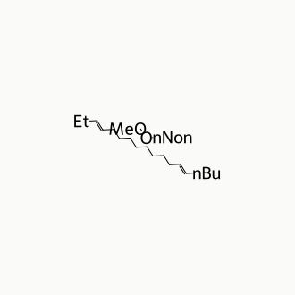 CC/C=C/CCCCCCCC/C=C/CCCC.CCCCCCCCCOOC